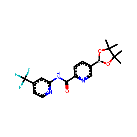 CC1(C)OB(c2ccc(C(=O)Nc3cc(C(F)(F)F)ccn3)nc2)OC1(C)C